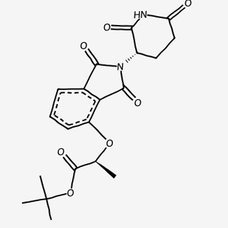 C[C@H](Oc1cccc2c1C(=O)N([C@H]1CCC(=O)NC1=O)C2=O)C(=O)OC(C)(C)C